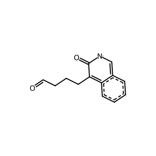 O=CCCCC1=c2ccccc2=C[N]C1=O